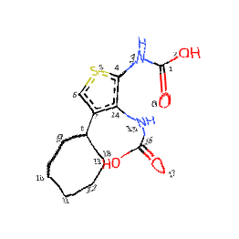 O=C(O)Nc1scc(C2CCCCC2)c1NC(=O)O